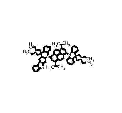 CCCCC1(CCCC)c2ccccc2N(c2cc(C(C)C)c3ccc4c(N5c6ccccc6C(CCCC)(CCCC)c6cc7c(cc65)sc5ccccc57)cc(C(C)C)c5ccc2c3c54)c2ccccc21